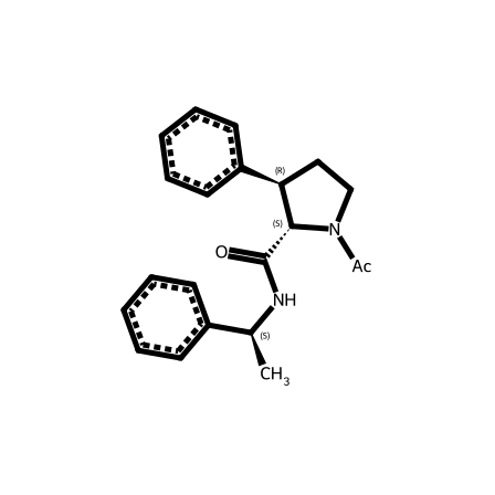 CC(=O)N1CC[C@H](c2ccccc2)[C@H]1C(=O)N[C@@H](C)c1ccccc1